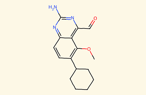 COc1c(C2CCCCC2)ccc2nc(N)nc(C=O)c12